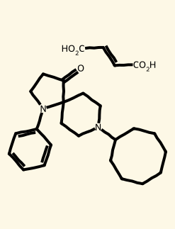 O=C(O)C=CC(=O)O.O=C1CCN(c2ccccc2)C12CCN(C1CCCCCCC1)CC2